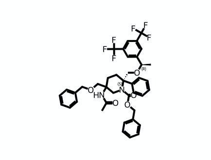 CC(=O)NC1(COCc2ccccc2)CC[C@@](CO[C@H](C)c2cc(C(F)(F)F)cc(C(F)(F)F)c2)(c2ccccc2)N(C(=O)OCc2ccccc2)C1